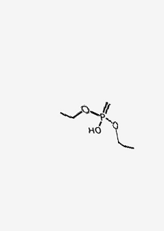 C=P(O)(OCC)OCC